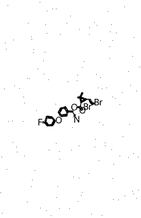 CC1(C)[C@H](C(=O)O[C@@H](C#N)c2cccc(Oc3ccc(F)cc3)c2)[C@@H]1C=C(Br)Br